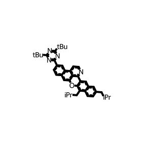 CC(C)Cc1ccc2c(CC(C)C)c3c(cc2c1)-c1nccc2c1c(cc1ccc(-c4nc(C(C)(C)C)nc(C(C)(C)C)n4)cc12)O3